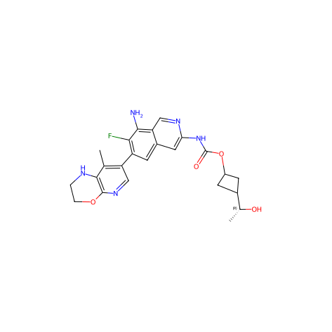 Cc1c(-c2cc3cc(NC(=O)OC4CC([C@@H](C)O)C4)ncc3c(N)c2F)cnc2c1NCCO2